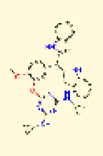 COc1ccc(C(c2cc3ccccc3[nH]2)C2Cc3ccccc3N2)cc1Oc1nc(NC2CC2)nc(NC2CC2)n1